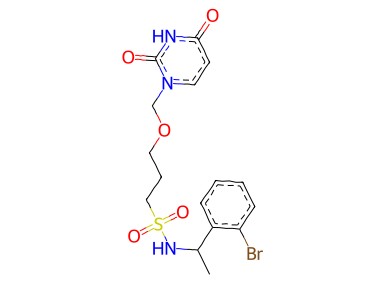 CC(NS(=O)(=O)CCCOCn1ccc(=O)[nH]c1=O)c1ccccc1Br